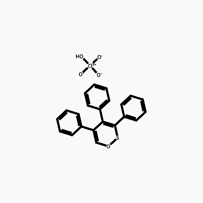 C1=C(c2ccccc2)C(c2ccccc2)=C(c2ccccc2)SO1.[O-][Cl+3]([O-])([O-])O